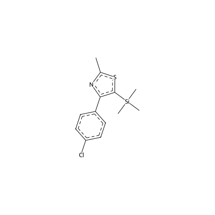 Cc1nc(-c2ccc(Cl)cc2)c([Si](C)(C)C)s1